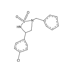 O=S1(=O)NC(c2ccc(Cl)cc2)CN1Cc1ccccc1